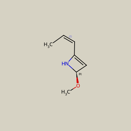 C/C=C\C1=C[C@@H](OC)N1